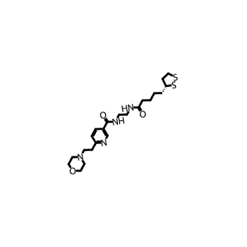 O=C(CCCC[C@@H]1CCSS1)NCCNC(=O)c1ccc(CCN2CCOCC2)nc1